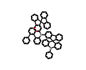 c1ccc(-c2ccccc2-c2ccccc2N(c2ccc3c(c2)C2(c4ccccc4-c4ccccc42)c2ccccc2-3)c2ccc3c(c2)C2(c4ccccc4-3)c3ccccc3N(c3ccccc3)c3ccccc32)cc1